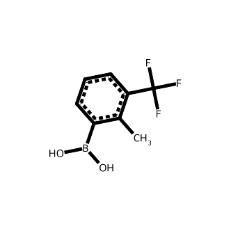 Cc1c(B(O)O)cccc1C(F)(F)F